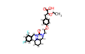 CCOC(Cc1ccc(OCCN(CC2CCCCC2)C(=O)NCc2ccc(F)cc2F)cc1)C(=O)O